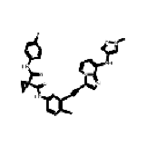 Cc1ccc(NC(=O)C2(C(=O)Nc3ccc(F)cc3)CC2)cc1C#Cc1cnc2c(Nc3cnn(C)c3)cccn12